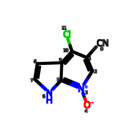 N#Cc1c[n+]([O-])c2[nH]ccc2c1Cl